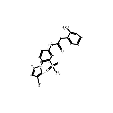 Cc1ccccc1CC(=O)Nc1ccc(-n2cc(Br)cn2)c(S(N)(=O)=O)c1